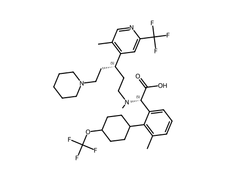 Cc1cnc(C(F)(F)F)cc1[C@@H](CCN1CCCCC1)CCN(C)[C@H](C(=O)O)c1cccc(C)c1C1CCC(OC(F)(F)F)CC1